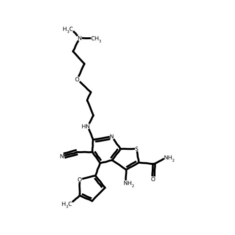 Cc1ccc(-c2c(C#N)c(NCCCOCCN(C)C)nc3sc(C(N)=O)c(N)c23)o1